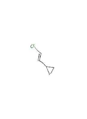 Cl/C=C/C1CC1